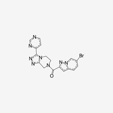 O=C(c1cc2ccc(Br)cn2n1)N1CCn2c(nnc2-c2ccncn2)C1